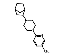 Cc1ccc(N2CCN(C3CC4CCC3C4)CC2)nc1